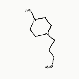 CCCN1CCN(CCCNC)CC1